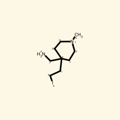 CN1CCC(CN)(CCI)CC1